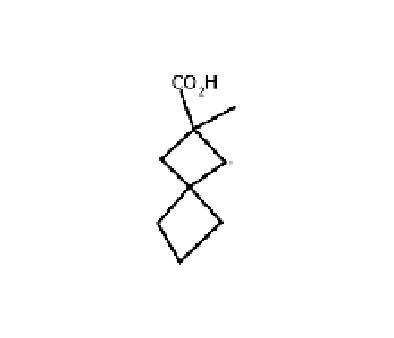 CC1(C(=O)O)[CH]C2(CCC2)C1